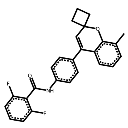 Cc1cccc2c1OC1(C=C2c2ccc(NC(=O)c3c(F)cccc3F)cc2)CCC1